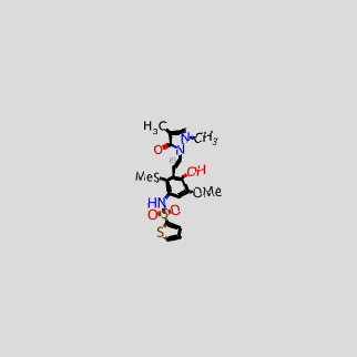 COc1cc(NS(=O)(=O)c2cccs2)c(SC)c(/C=C/n2c(=O)c(C)cn2C)c1O